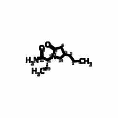 CCCC1CC(=O)N([C@H](CC)C(N)=O)C1